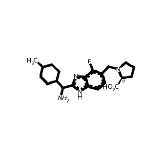 CC1CCC(C(N)c2nc3c(F)c(CN4CCC[C@H]4C(=O)O)ccc3[nH]2)CC1